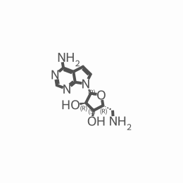 NC[C@H]1O[C@@H](n2ccc3c(N)ncnc32)[C@H](O)[C@@H]1O